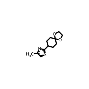 Cc1csc(C2CCC3(CC2)OCCO3)n1